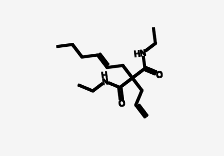 C=CCC(CC=CCCC)(C(=O)NCC)C(=O)NCC